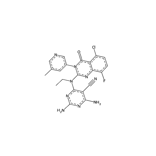 CCN(c1nc(N)nc(N)c1C#N)c1nc2c(F)ccc(Cl)c2c(=O)n1-c1cncc(C)c1